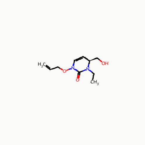 C=CCON1C=C[C@@H](CO)N(CC)C1=O